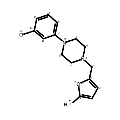 Cc1ccc(CN2CCN(c3cccc(Cl)c3)CC2)o1